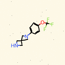 FC(F)(F)Oc1ccc(N2CC3(CNC3)C2)cc1